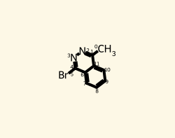 Cc1nnc(Br)c2ccccc12